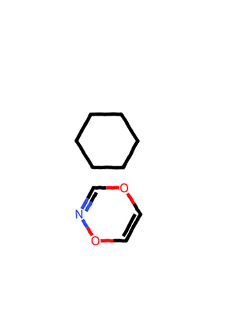 C1=CON=CO1.C1CCCCC1